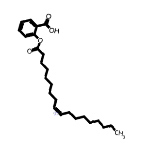 CCCCCCCC/C=C\CCCCCCCC(=O)Oc1ccccc1C(=O)O